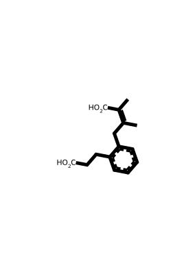 C/C(Cc1ccccc1CCC(=O)O)=C(\C)C(=O)O